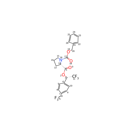 O=C(O[C@@H](c1ccc(C(F)(F)F)cc1)C(F)(F)F)[C@@H]1CCCN1C(=O)OCc1ccccc1